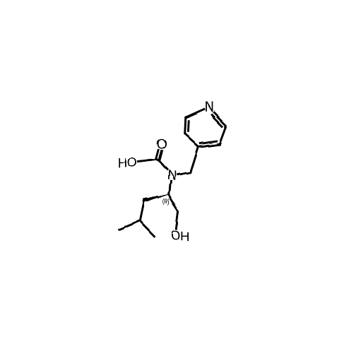 CC(C)C[C@H](CO)N(Cc1ccncc1)C(=O)O